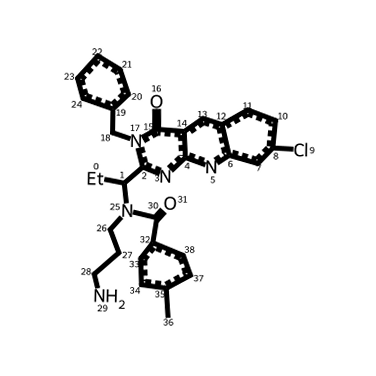 CCC(c1nc2nc3cc(Cl)ccc3cc2c(=O)n1Cc1ccccc1)N(CCCN)C(=O)c1ccc(C)cc1